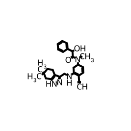 C#CC1=C(NCc2n[nH]c3c2CCC(C)(C)C3)CC(N(C)C(=O)C(O)c2ccccc2)C=C1